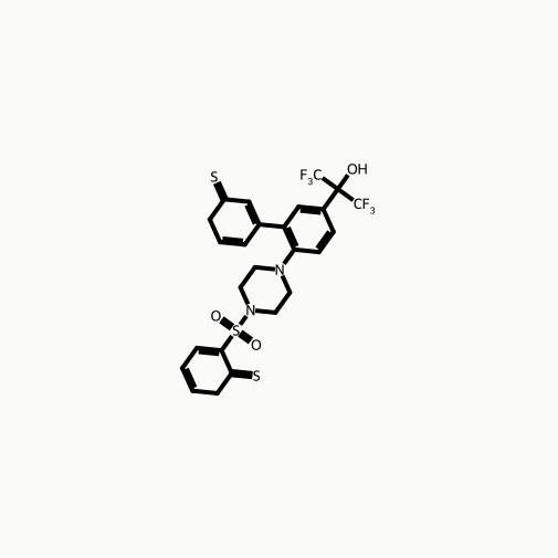 O=S(=O)(C1=CC=CCC1=S)N1CCN(c2ccc(C(O)(C(F)(F)F)C(F)(F)F)cc2C2=CC(=S)CC=C2)CC1